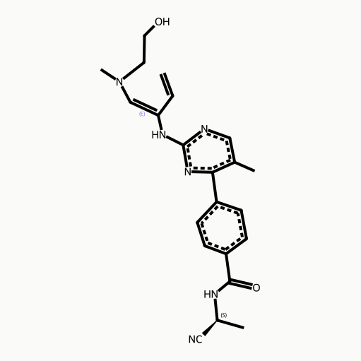 C=C/C(=C\N(C)CCO)Nc1ncc(C)c(-c2ccc(C(=O)N[C@@H](C)C#N)cc2)n1